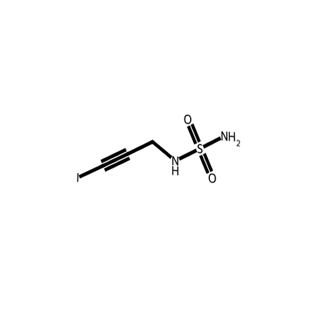 NS(=O)(=O)NCC#CI